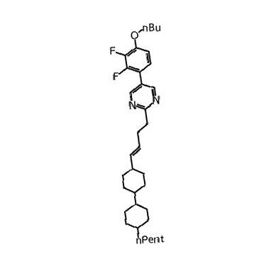 CCCCCC1CCC(C2CCC(/C=C/CCc3ncc(-c4ccc(OCCCC)c(F)c4F)cn3)CC2)CC1